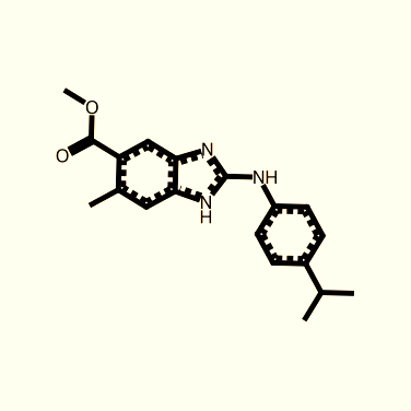 COC(=O)c1cc2nc(Nc3ccc(C(C)C)cc3)[nH]c2cc1C